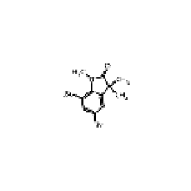 CC(C)c1cc(C(C)(C)C)c2c(c1)C(C)(C)C(=O)N2C